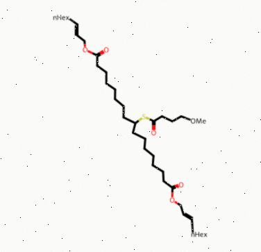 CCCCCC/C=C/COC(=O)CCCCCCCC(CCCCCCCC(=O)OC/C=C/CCCCCC)SC(=O)CCCOC